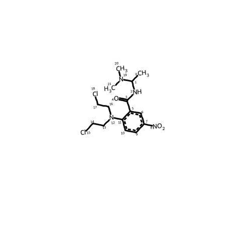 CC(NC(=O)c1cc([N+](=O)[O-])ccc1N(CCCl)CCCl)N(C)C